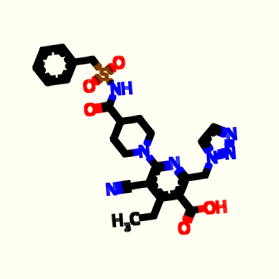 CCc1c(C#N)c(N2CCC(C(=O)NS(=O)(=O)Cc3ccccc3)CC2)nc(Cn2ccnn2)c1C(=O)O